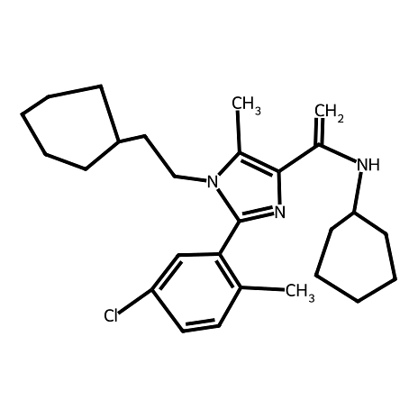 C=C(NC1CCCCC1)c1nc(-c2cc(Cl)ccc2C)n(CCC2CCCCC2)c1C